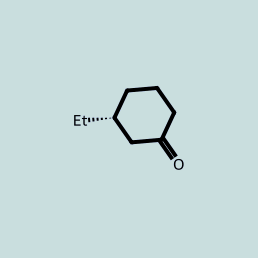 CC[C@@H]1CCCC(=O)C1